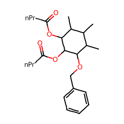 CCCC(=O)OC1C(C)C(C)C(C)C(OCc2ccccc2)C1OC(=O)CCC